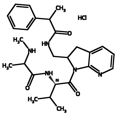 CNC(C)C(=O)N[C@H](C(=O)N1c2ncccc2CC1CNC(=O)C(C)c1ccccc1)C(C)C.Cl